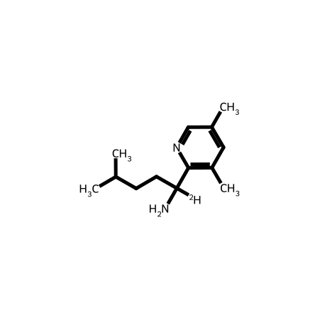 [2H]C(N)(CCC(C)C)c1ncc(C)cc1C